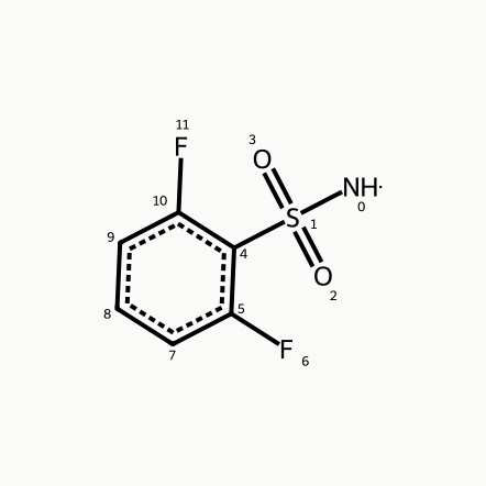 [NH]S(=O)(=O)c1c(F)cccc1F